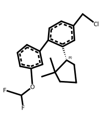 CC1(C)CCC[C@H]1c1cc(CCl)ccc1-c1cccc(OC(F)F)c1